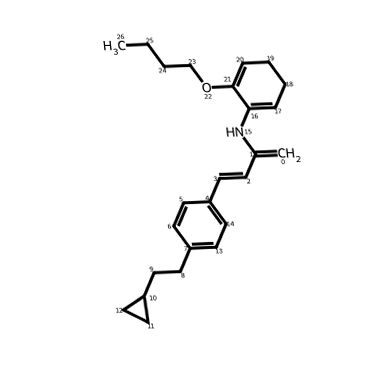 C=C(/C=C/c1ccc(CCC2CC2)cc1)NC1=CCCC=C1OCCCC